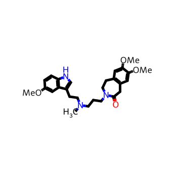 COc1ccc2[nH]cc(CCN(C)CCCN3CCc4cc(OC)c(OC)cc4CC3=O)c2c1